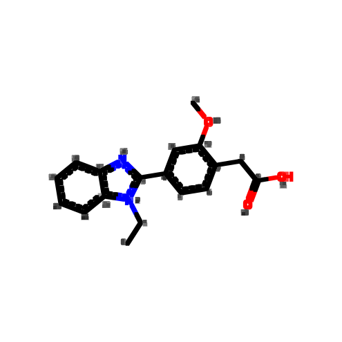 CCn1c(-c2ccc(CC(=O)O)c(OC)c2)nc2ccccc21